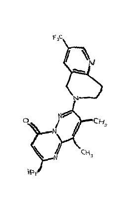 Cc1c(N2CCc3ncc(C(F)(F)F)cc3C2)nn2c(=O)cc(C(C)C)nc2c1C